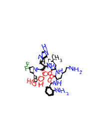 CC(C)CC(NC(=O)C(CCCCN)NC(=O)c1ccccc1N)C(=O)NC(Cc1c[nH]cn1)C(=O)N1CC(F)(F)CC1B(O)O